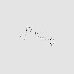 CCn1c(Oc2cccc(N3CCN(C)CC3)c2)nnc1[C@@H](C)NS(=O)(=O)c1cc(Cl)c(Cl)cc1Cl